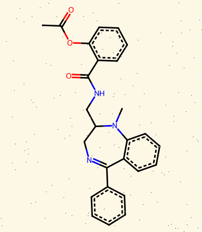 CC(=O)Oc1ccccc1C(=O)NCC1CN=C(c2ccccc2)c2ccccc2N1C